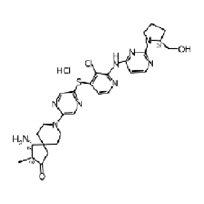 C[C@@H]1C(=O)CC2(CCN(c3cnc(Sc4ccnc(Nc5ccnc(N6CCC[C@H]6CO)n5)c4Cl)cn3)CC2)[C@H]1N.Cl